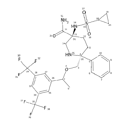 CC(OC[C@@]1(c2ccccc2)CC[C@@](NS(=O)(=O)C2CC2)(C(N)=O)CN1)c1cc(C(F)(F)F)cc(C(F)(F)F)c1